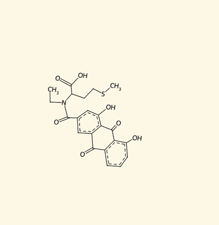 CCN(C(=O)c1cc(O)c2c(c1)C(=O)c1cccc(O)c1C2=O)C(CCSC)C(=O)O